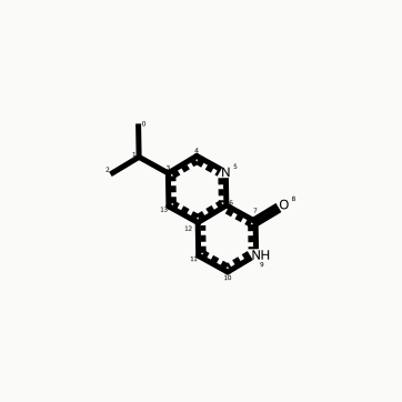 CC(C)c1cnc2c(=O)[nH]ccc2c1